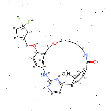 O=C1NCCCCOCc2cc(ccc2OCC2CCC(F)(F)C2)Nc2nccc(n2)-c2ccc1cc2[N+](=O)[O-]